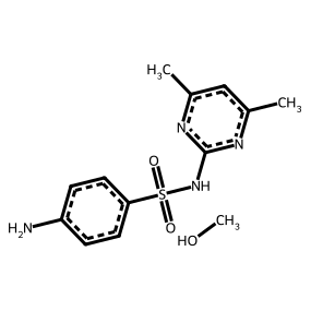 CO.Cc1cc(C)nc(NS(=O)(=O)c2ccc(N)cc2)n1